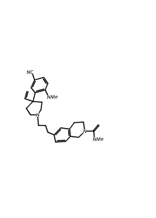 C=CC1(c2cc(C#N)ccc2NC)CCN(CCCc2ccc3c(c2)CCN(C(=C)NC)C3)CC1